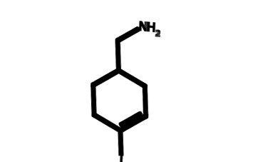 NCC1CC=C(I)CC1